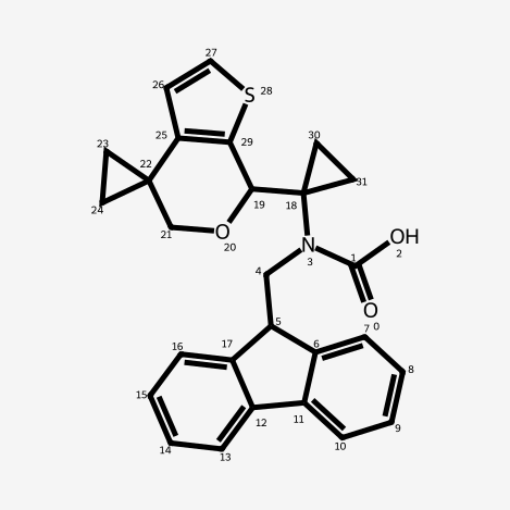 O=C(O)N(CC1c2ccccc2-c2ccccc21)C1(C2OCC3(CC3)c3ccsc32)CC1